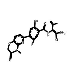 C=C(C)/C(NC(=O)c1cc(F)c(-c2ccc3c(n2)N(C)C(=O)CO3)cc1O)=C(\N)Cl